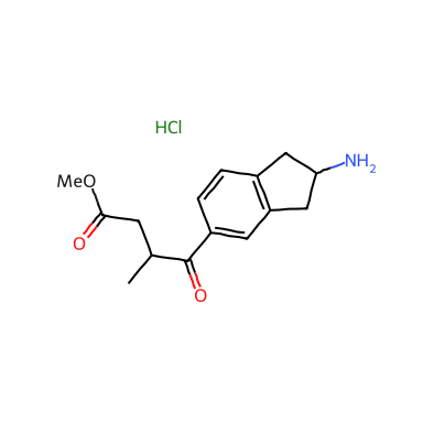 COC(=O)CC(C)C(=O)c1ccc2c(c1)CC(N)C2.Cl